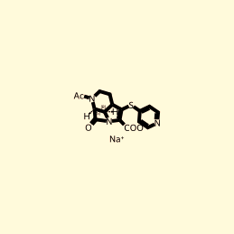 CC(=O)N1CCC2C(Sc3ccncc3)=C(C(=O)[O-])N3C(=O)[C@@H]1[C@@H]23.[Na+]